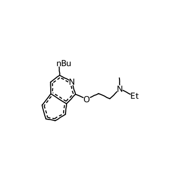 CCCCc1cc2ccccc2c(OCCN(C)CC)n1